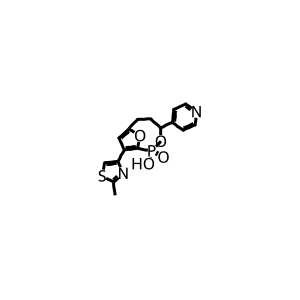 Cc1nc(-c2cc3oc2P(=O)(O)OC(c2ccncc2)CC3)cs1